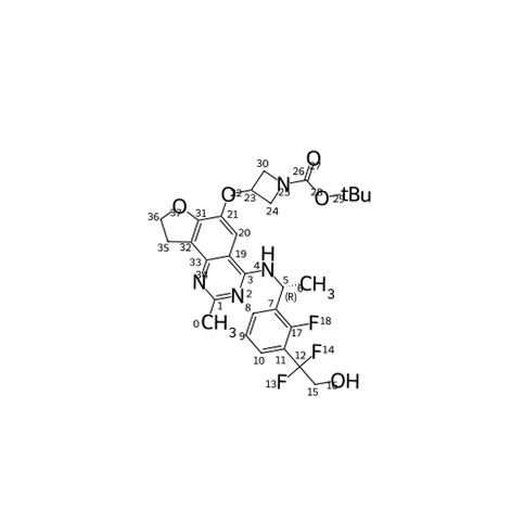 Cc1nc(N[C@H](C)c2cccc(C(F)(F)CO)c2F)c2cc(OC3CN(C(=O)OC(C)(C)C)C3)c3c(c2n1)CCO3